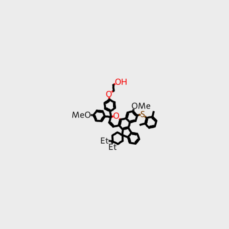 CCC1(CC)CCC2(CC1)c1ccccc1-c1c2c2c(c3cc(OC)c(Sc4c(C)cccc4C)cc13)OC(c1ccc(OC)cc1)(c1ccc(OCCO)cc1)C=C2